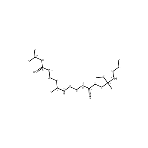 CCCNC(C)(CC)CCC(=O)NCCNC(C)CCOC(=O)CC(C)C